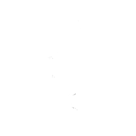 O=S(=O)(NC1CN(c2ccc3c(c2)[C@@H](Cc2ccccc2)[C@@H](N2CCC2)CC3)C1)c1ccc2c(c1)OC(F)(F)O2